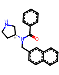 O=C(c1ccccc1)N(Cc1ccc2ccccc2c1)[C@@H]1CCNC1